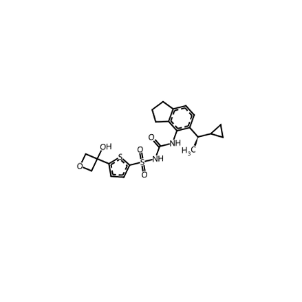 C[C@@H](c1ccc2c(c1NC(=O)NS(=O)(=O)c1ccc(C3(O)COC3)s1)CCC2)C1CC1